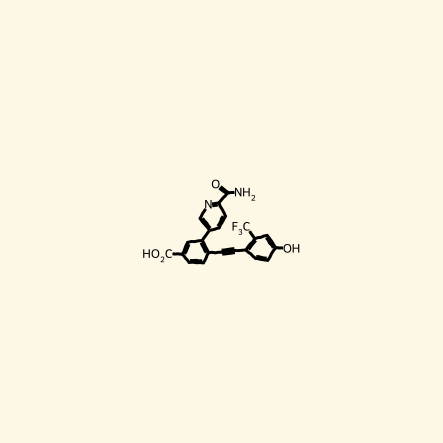 NC(=O)c1ccc(-c2cc(C(=O)O)ccc2C#Cc2ccc(O)cc2C(F)(F)F)cn1